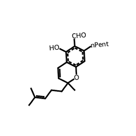 CCCCCc1cc2c(c(O)c1C=O)C=CC(C)(CCC=C(C)C)O2